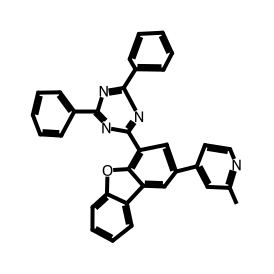 Cc1cc(-c2cc(-c3nc(-c4ccccc4)nc(-c4ccccc4)n3)c3oc4ccccc4c3c2)ccn1